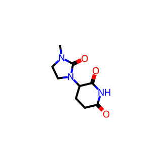 CN1CCN(C2CCC(=O)NC2=O)C1=O